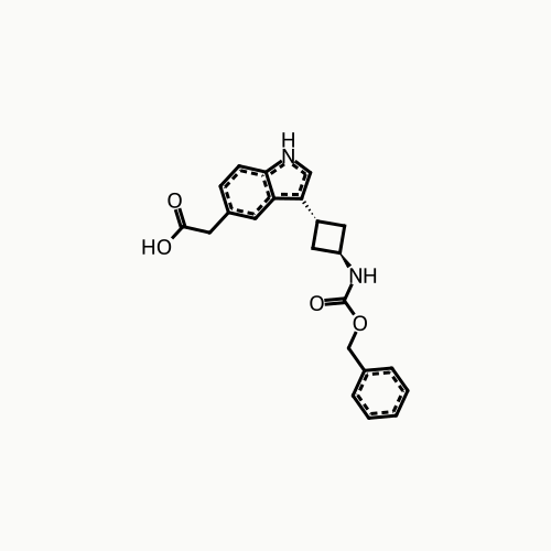 O=C(O)Cc1ccc2[nH]cc([C@H]3C[C@H](NC(=O)OCc4ccccc4)C3)c2c1